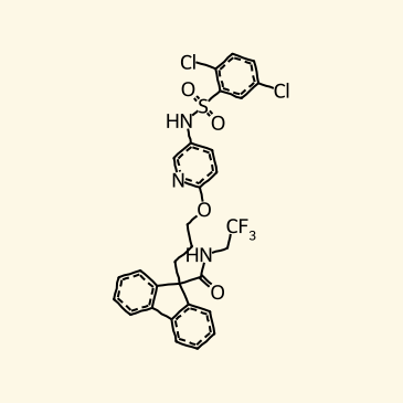 O=C(NCC(F)(F)F)C1(CCCOc2ccc(NS(=O)(=O)c3cc(Cl)ccc3Cl)cn2)c2ccccc2-c2ccccc21